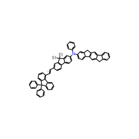 CCC1(CC)c2cc(/C=C/c3cccc4c3-c3ccccc3C4(c3ccccc3)c3ccccc3)ccc2-c2ccc(N(c3ccccc3)c3ccc4c(c3)Cc3cc5c(cc3-4)Cc3ccccc3-5)cc21